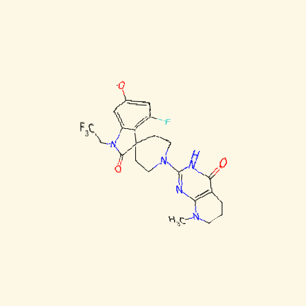 CN1CCCc2c1nc(N1CCC3(CC1)C(=O)N(CC(F)(F)F)c1cc([O])cc(F)c13)[nH]c2=O